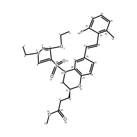 CCOc1nn(CC)cc1S(=O)(=O)N1C[C@H](CCC(=O)OC)Oc2ccc(/C=C/c3c(C)cccc3F)cc21